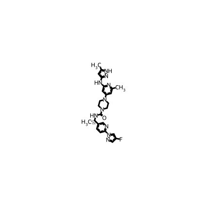 Cc1cc(N2CCN(C(=O)N[C@@H](C)c3ccc(-n4cc(F)cn4)nc3)CC2)cc(Nc2cc(C)[nH]n2)n1